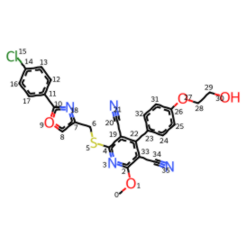 COc1nc(SCc2coc(-c3ccc(Cl)cc3)n2)c(C#N)c(-c2ccc(OCCO)cc2)c1C#N